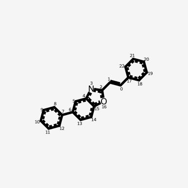 C(=Cc1nc2cc(-c3ccccc3)ccc2o1)c1ccccc1